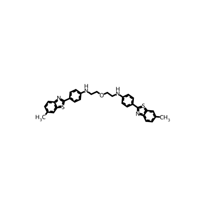 Cc1ccc2nc(-c3ccc(NCCOCCNc4ccc(-c5nc6ccc(C)cc6s5)cc4)cc3)sc2c1